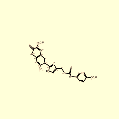 O=C(Nc1ccc(C(=O)O)cc1)OCc1c[nH]c(-c2cc3nc(C(=O)O)c(=O)[nH]c3cc2[N+](=O)[O-])n1